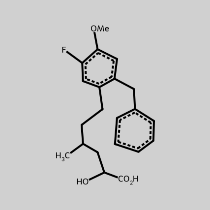 COc1cc(Cc2ccccc2)c(CCC(C)CC(O)C(=O)O)cc1F